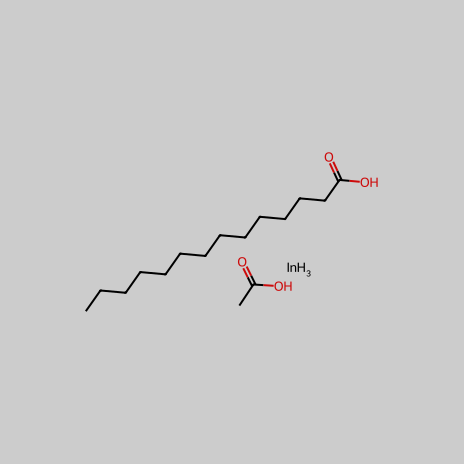 CC(=O)O.CCCCCCCCCCCCCC(=O)O.[InH3]